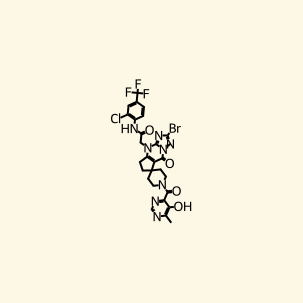 Cc1ncnc(C(=O)N2CCC3(CCc4c3c(=O)n3nc(Br)nc3n4CC(=O)Nc3ccc(C(F)(F)F)cc3Cl)CC2)c1O